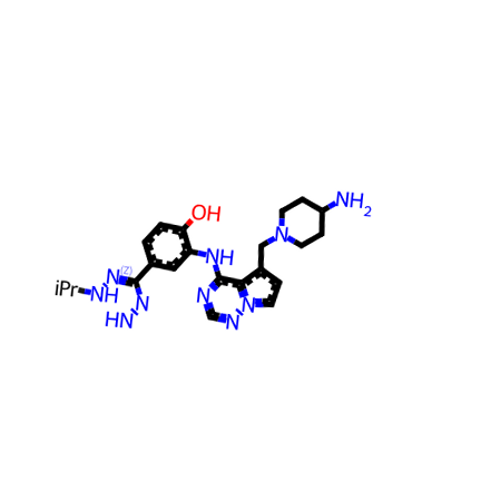 CC(C)N/N=C(\N=N)c1ccc(O)c(Nc2ncnn3ccc(CN4CCC(N)CC4)c23)c1